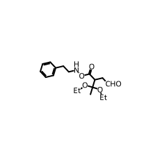 CCOC(C)(OCC)C(CC=O)C(=O)ONCCc1ccccc1